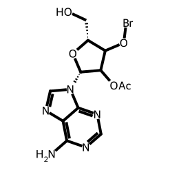 CC(=O)OC1C(OBr)[C@@H](CO)O[C@H]1n1cnc2c(N)ncnc21